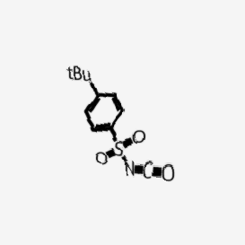 CC(C)(C)c1ccc(S(=O)(=O)N=C=O)cc1